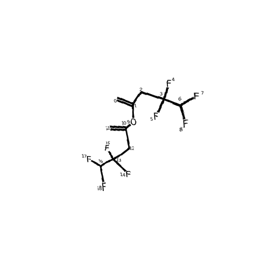 C=C(CC(F)(F)C(F)F)OC(=C)CC(F)(F)C(F)F